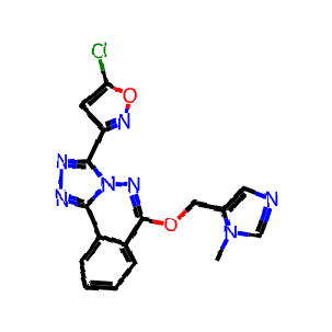 Cn1cncc1COc1nn2c(-c3cc(Cl)on3)nnc2c2ccccc12